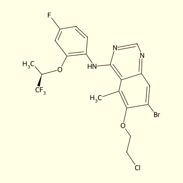 Cc1c(OCCCl)c(Br)cc2ncnc(Nc3ccc(F)cc3O[C@H](C)C(F)(F)F)c12